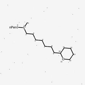 CCCCC[S+](C)CCCCCCCC1CCCCO1